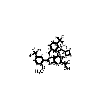 COc1ccc(C(F)(F)F)cc1-c1nc2nc(C(=O)O)nc(N[C@H](C)C3CCC3)c2n1Cc1ccc(C(F)(F)F)cc1